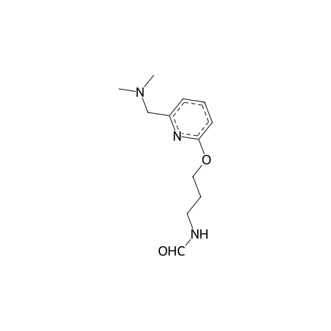 CN(C)Cc1cccc(OCCCNC=O)n1